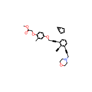 C#Cc1c(C#CCOc2ccc(OCC(=O)OC)c(C)c2)cccc1C#CCN1CCOCC1.c1cc2cc-2c1